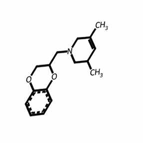 CC1=CC(C)CN(CC2COc3ccccc3O2)C1